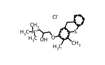 Cc1c(OCC(O)C[N+](C)(C)C)cc2c(c1C)Sc1ccccc1C2.[Cl-]